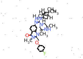 C[C@H]1[C@@H](NC(=Nc2ccc3c(=O)n(C)c(COc4ccc(F)cc4)nc3c2)N2C[C@@H](C)N[C@@H](C)C2)C[C@@H]2C[C@@H]1C2(C)C